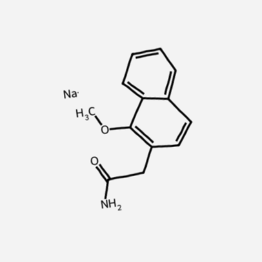 COc1c(CC(N)=O)ccc2ccccc12.[Na]